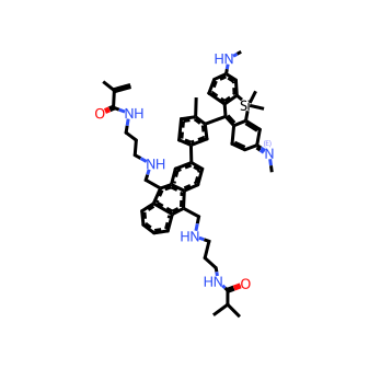 C=C(C)C(=O)NCCCNCc1c2ccccc2c(CNCCCNC(=O)C(C)C)c2ccc(-c3ccc(C)c(C4=C5C=C/C(=N\C)C=C5[Si](C)(C)c5cc(NC)ccc54)c3)cc12